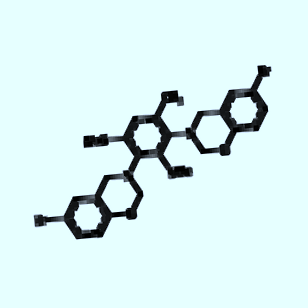 CSc1cc(C)c(N2COc3ccc(Br)cc3C2)c(SC)c1N1COc2ccc(Br)cc2C1